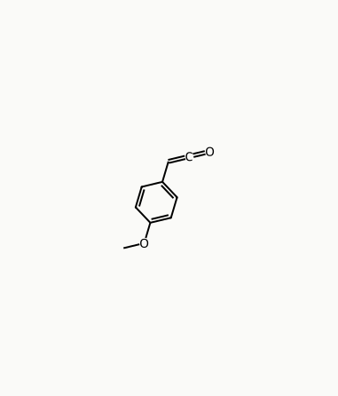 COc1ccc(C=C=O)cc1